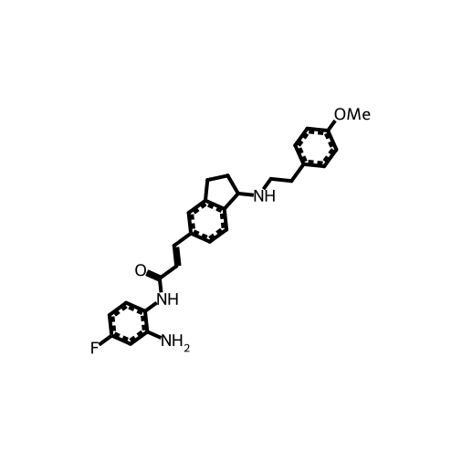 COc1ccc(CCNC2CCc3cc(/C=C/C(=O)Nc4ccc(F)cc4N)ccc32)cc1